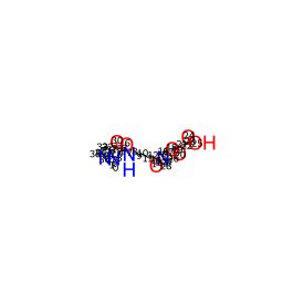 CCn1cc(C(=O)NCCCCCC(=O)N2C[C@H](OC(=O)CCC(=O)O)C[C@H]2C)c(=O)c2ccc(C)nc21